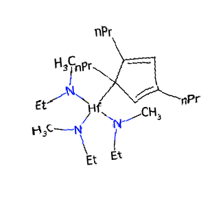 CCCC1=C[C](CCC)([Hf]([N](C)CC)([N](C)CC)[N](C)CC)C(CCC)=C1